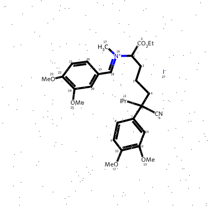 CCOC(=O)C(CCCC(C#N)(c1ccc(OC)c(OC)c1)C(C)C)[N+](C)=Cc1ccc(OC)c(OC)c1.[I-]